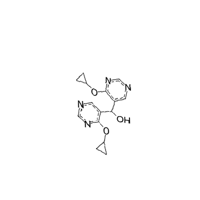 OC(c1cncnc1OC1CC1)c1cncnc1OC1CC1